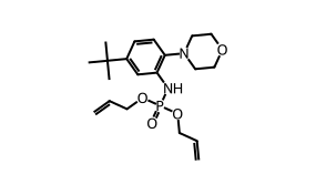 C=CCOP(=O)(Nc1cc(C(C)(C)C)ccc1N1CCOCC1)OCC=C